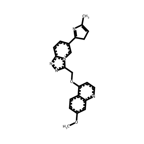 COc1ccc2c(OCc3nnc4ccc(C5=NC(C)=CC5)cn34)ccnc2c1